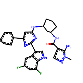 Cn1ncc(C(=O)N[C@@H]2CCC[C@H](Nc3cc(-c4ccccc4)nc(-c4c[nH]c5c(F)cc(F)cc45)n3)C2)c1N